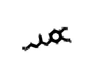 CC=CC(=O)Oc1ccc(S)c(C)c1